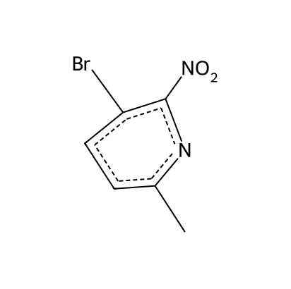 Cc1ccc(Br)c([N+](=O)[O-])n1